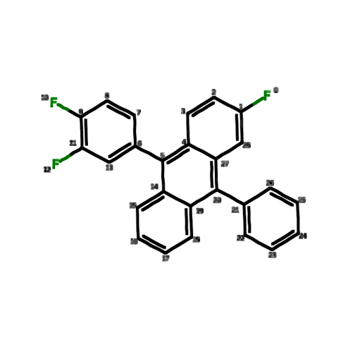 Fc1ccc2c(-c3ccc(F)c(F)c3)c3ccccc3c(-c3ccccc3)c2c1